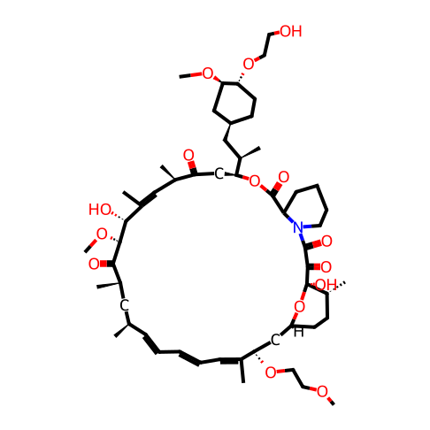 COCCO[C@H]1C[C@@H]2CC[C@@H](C)[C@@](O)(O2)C(=O)C(=O)N2CCCCC2C(=O)O[C@H]([C@H](C)C[C@@H]2CC[C@@H](OCCO)[C@H](OC)C2)CC(=O)[C@H](C)/C=C(\C)[C@@H](O)[C@@H](OC)C(=O)[C@H](C)C[C@H](C)/C=C/C=C/C=C/1C